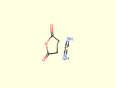 N=C=N.O=C1CCC(=O)O1